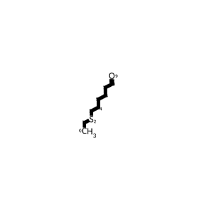 CCSCCCCCC=O